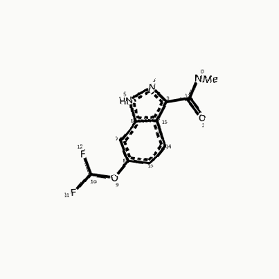 CNC(=O)c1n[nH]c2cc(OC(F)F)ccc12